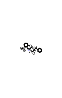 Cc1cccc([N+](=O)[O-])c1/C=C1\C(=O)NC(C)(Cc2ccccc2)C(=O)N1C